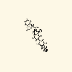 COc1ccccc1OCCn1nc2ccc(-c3ccc(OC(F)(F)F)cc3)cn2c1=O